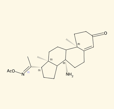 CC(=O)O/N=C(\C)[C@H]1CCC2[C@]3(N)CCC4=CC(=O)CC[C@]4(C)C3CC[C@@]21C